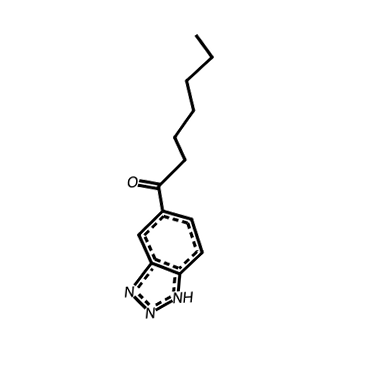 CCCCCCC(=O)c1ccc2[nH]nnc2c1